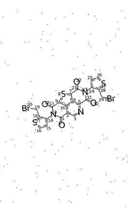 O=C1c2cnc3c4c(sc(c24)C(=O)N1c1ccsc1CBr)C(=O)N(c1ccsc1CBr)C3=O